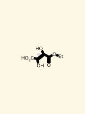 CCOC(=O)/C(O)=C(\O)C(=O)O